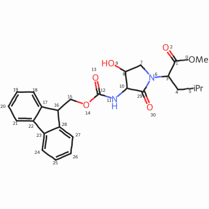 COC(=O)C(CC(C)C)N1CC(O)C(NC(=O)OCC2c3ccccc3-c3ccccc32)C1=O